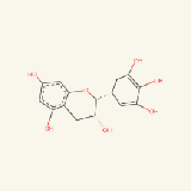 OC1=C[C@H](C2Oc3cc(O)cc(O)c3C[C@H]2O)CC(O)=C1O